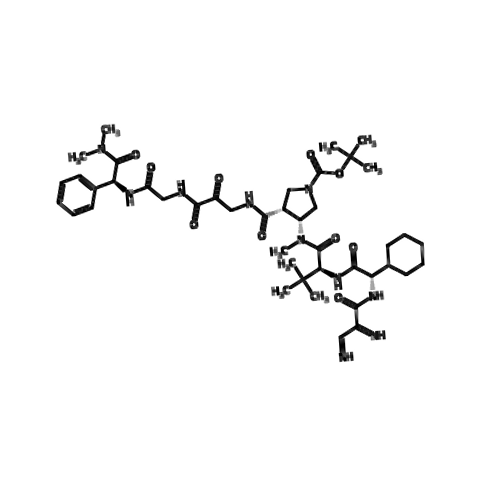 CN(C)C(=O)[C@@H](NC(=O)CNC(=O)C(=O)CNC(=O)[C@@H]1CN(C(=O)OC(C)(C)C)C[C@@H]1N(C)C(=O)[C@@H](NC(=O)[C@@H](NC(=O)C(=N)C=N)C1CCCCC1)C(C)(C)C)c1ccccc1